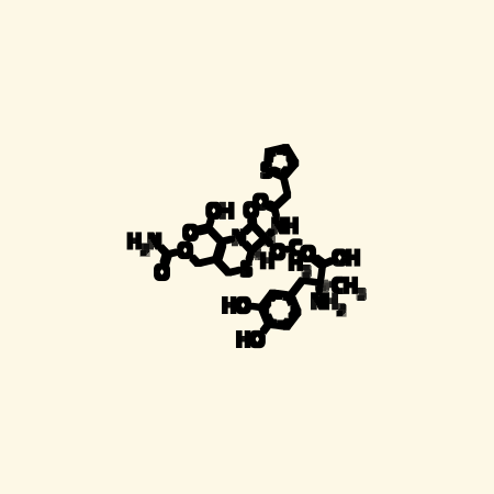 CO[C@@]1(NC(=O)Cc2cccs2)C(=O)N2C(C(=O)O)=C(COC(N)=O)CS[C@@H]21.C[C@](N)(Cc1ccc(O)c(O)c1)C(=O)O